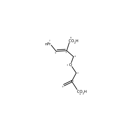 C=C(COC/C(=C/CCC)C(=O)O)C(=O)O